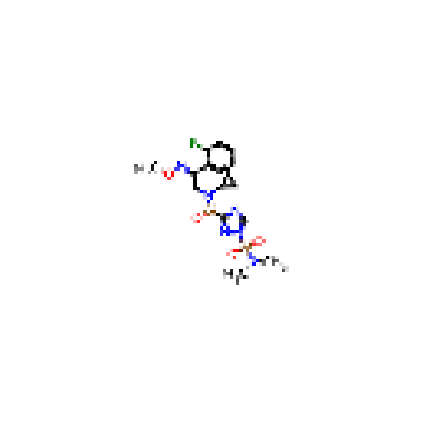 CO/N=C(\CN(C1CC1)[S+]([O-])c1ncn(S(=O)(=O)N(C)C)n1)c1ccccc1F